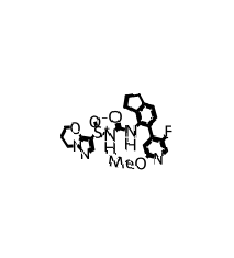 COc1cc(-c2ccc3c(c2NC(=O)N[S+]([O-])c2cnn4c2OCCC4)CCC3)c(F)cn1